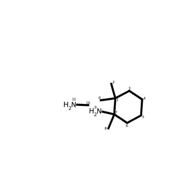 CC1(C)CCCCC1(C)N.CN